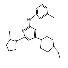 CSN1CCC(c2cc(Nc3cc(C)ccn3)nc(N3CCC[C@H]3C)c2)CC1